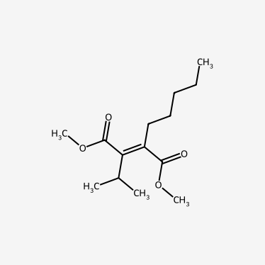 CCCCCC(C(=O)OC)=C(C(=O)OC)C(C)C